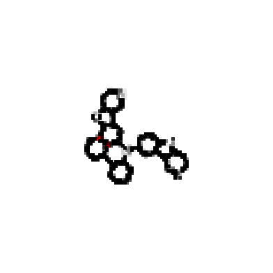 c1ccc(-c2ccccc2N(c2ccc3oc4ccncc4c3c2)c2ccc3oc4ccncc4c3c2)cc1